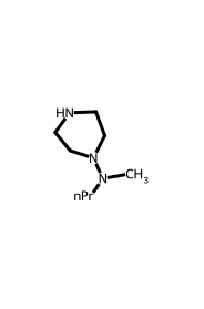 CCCN(C)N1CCNCC1